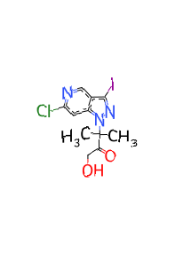 CC(C)(C(=O)CO)n1nc(I)c2cnc(Cl)cc21